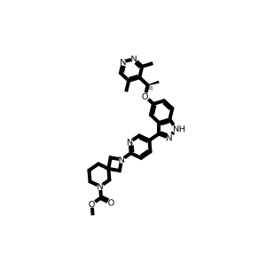 COC(=O)N1CCCC2(C1)CN(c1ccc(-c3n[nH]c4ccc(O[C@H](C)c5c(C)cnnc5C)cc34)cn1)C2